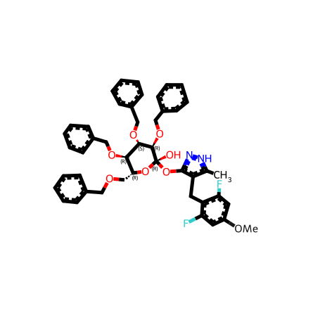 COc1cc(F)c(Cc2c(O[C@]3(O)O[C@H](COCc4ccccc4)[C@@H](OCc4ccccc4)[C@H](OCc4ccccc4)[C@H]3OCc3ccccc3)n[nH]c2C)c(F)c1